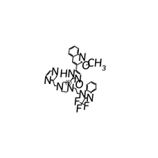 COc1nc2ccccc2cc1-c1cnc([C@@H]2CN(Cc3cnccn3)CCN2C(=O)Cn2c(C(F)(F)F)nc3ccccc32)[nH]1